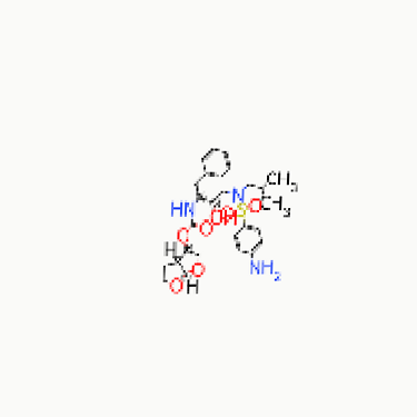 CC(C)CN(C[C@H](O)[C@H](Cc1ccccc1)NC(=O)O[C@H]1CO[C@H]2OCC[C@H]21)S(=O)(=O)c1ccc(N)cc1